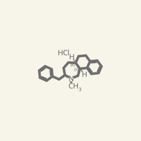 CN1C[C@@H]2c3ccccc3CC[C@@H]2CCC1Cc1ccccc1.Cl